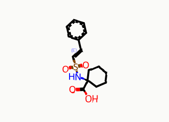 O=C(O)C1(NS(=O)(=O)/C=C/c2ccccc2)CCCCC1